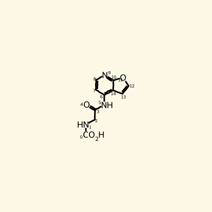 O=C(O)NCC(=O)Nc1ccnc2occc12